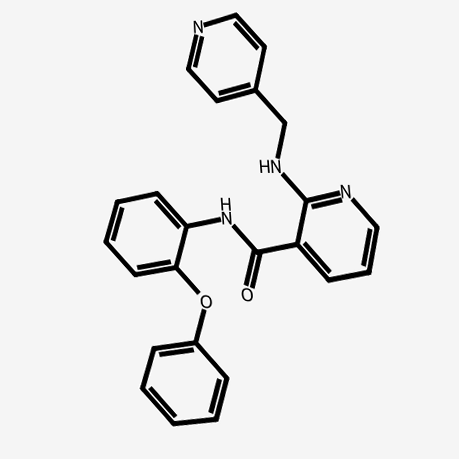 O=C(Nc1ccccc1Oc1ccccc1)c1cccnc1NCc1ccncc1